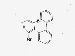 Brc1c[c]cc(Br)c1-c1ccccc1-c1ccccc1